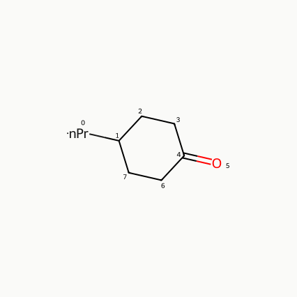 CC[CH]C1CCC(=O)CC1